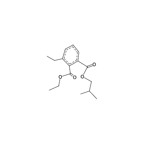 CCOC(=O)c1c(CC)cccc1C(=O)OCC(C)C